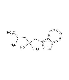 NC(CC(O)(Cn1ccc2ccccc21)C(=O)O)C(=O)O